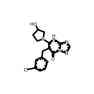 O=c1c(Cc2cccc(Cl)c2)c(N2CCC(O)C2)[nH]c2ncnn12